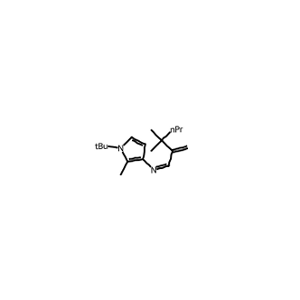 C=C(/C=N\c1ccn(C(C)(C)C)c1C)C(C)(C)CCC